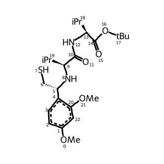 COc1ccc([C@H](CS)N[C@H](C(=O)N[C@H](C(=O)OC(C)(C)C)C(C)C)C(C)C)c(OC)c1